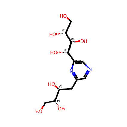 OC[C@@H](O)[C@@H](O)[C@@H](O)c1cncc(C[C@H](O)[C@H](O)CO)n1